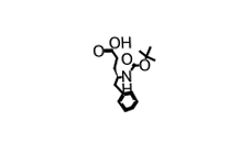 CC(C)(C)OC(=O)N[C@H](CCC(=O)O)Cc1ccccc1